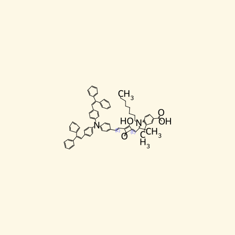 CCCCCCCC[N+]1=C(/C=C2/C(=O)C(/C=C/c3ccc(N(c4ccc(C=C(c5ccccc5)c5ccccc5)cc4)c4ccc(C=C(c5ccccc5)c5ccccc5)cc4)cc3)=C2O)C(C)(C)c2cc(C(=O)O)ccc21